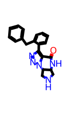 O=C1NC2CNCC2n2nnc(-c3ccccc3Cc3ccccc3)c21